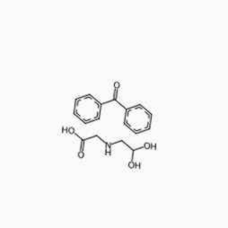 O=C(O)CNCC(O)O.O=C(c1ccccc1)c1ccccc1